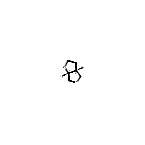 [CH]1CO[C@H]2COC[C@@H]12